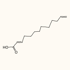 C=CCCCCCCCC/C=C/C(=O)O